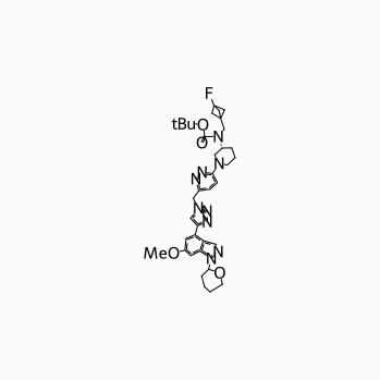 COc1cc(-c2cn(Cc3ccc(N4CCC[C@@H](N(CC56CC(F)(C5)C6)C(=O)OC(C)(C)C)C4)nn3)nn2)c2cnn(C3CCCCO3)c2c1